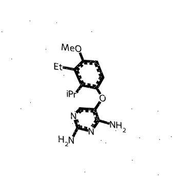 CCc1c(OC)ccc(Oc2cnc(N)nc2N)c1C(C)C